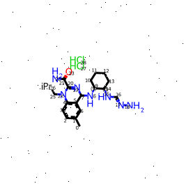 Cc1ccc2c(c1)C(N[C@H]1CCCC[C@H]1NC=NN)N=C(C(N)=O)N2CC(C)C.Cl.Cl